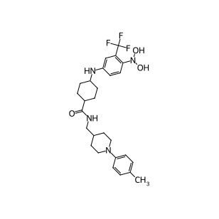 Cc1ccc(N2CCC(CNC(=O)C3CCC(Nc4ccc(N(O)O)c(C(F)(F)F)c4)CC3)CC2)cc1